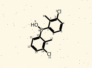 Cc1c(Cl)cccc1B(O)c1cccc(Cl)c1C